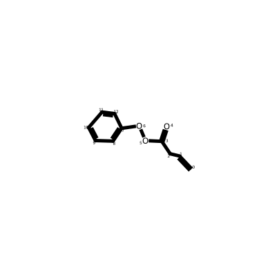 C=CCC(=O)OOc1ccccc1